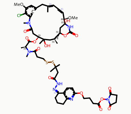 COc1cc2cc(c1Cl)N(C)C(=O)C[C@H](OC(=O)[C@H](C)N(C)C(=O)CCSSC(C)(C)CC(=O)N/N=C1/CCCc3nc(OCCCC(=O)ON4C(=O)CCC4=O)ccc31)C(C)(O)C[C@H](C)[C@@H]1C[C@@](O)(NC(=O)O1)[C@H](OC)/C=C/C=C(\C)C2